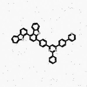 c1ccc(-c2nc(-c3ccc(-c4cccnc4)cc3)cc(-c3ccc(-c4ccc(-c5cccc6c5oc5ccccc56)c5c4oc4ccccc45)cc3)n2)cc1